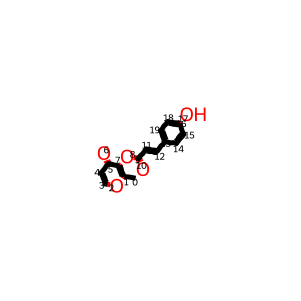 Cc1occc(=O)c1OC(=O)C=Cc1ccc(O)cc1